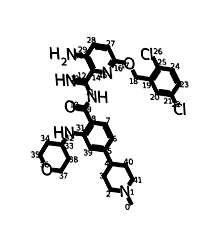 CN1CCC(c2ccc(C(=O)NC(=N)c3nc(OCc4cc(Cl)ccc4Cl)ccc3N)c(NC3CCOCC3)c2)CC1